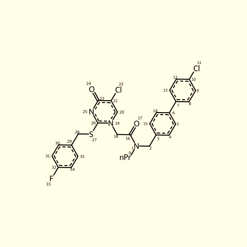 CCCN(Cc1ccc(-c2ccc(Cl)cc2)cc1)C(=O)Cn1cc(Cl)c(=O)nc1SCc1ccc(F)cc1